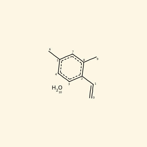 C=Cc1ccc(C)cc1C.O